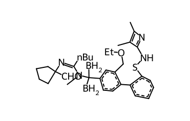 BC(B)(c1ccc(-c2ccccc2SNC2=NC(C)=C2C)c(COCC)c1)N(C)/C(CCCC)=N\C1(C=O)CCCC1